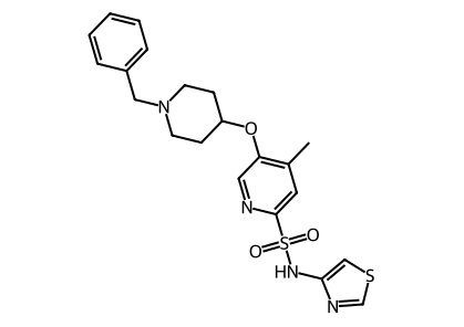 Cc1cc(S(=O)(=O)Nc2cscn2)ncc1OC1CCN(Cc2ccccc2)CC1